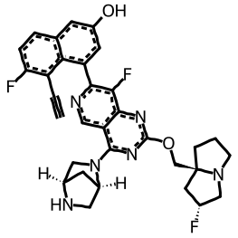 C#Cc1c(F)ccc2cc(O)cc(-c3ncc4c(N5C[C@H]6C[C@@H]5CN6)nc(OC[C@@]56CCCN5C[C@H](F)C6)nc4c3F)c12